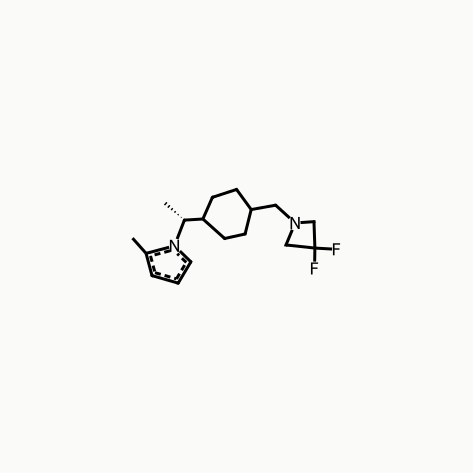 Cc1cccn1[C@H](C)C1CCC(CN2CC(F)(F)C2)CC1